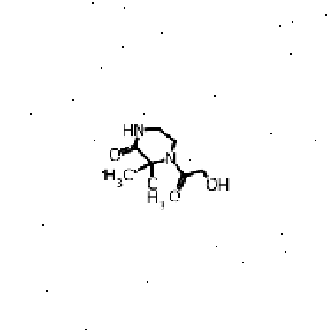 CC1(C)C(=O)NCCN1C(=O)CO